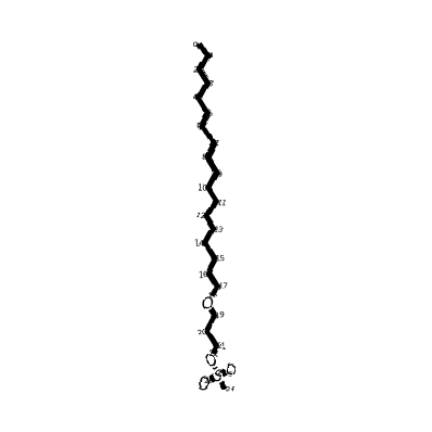 CCCCCCCCCCCCCCCCCCOCCCOS(C)(=O)=O